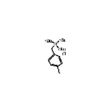 CCCC[N+](CCCC)(CCCC)Cc1ccc(C)cc1.[Cl-]